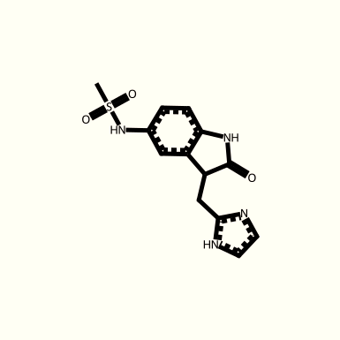 CS(=O)(=O)Nc1ccc2c(c1)C(Cc1ncc[nH]1)C(=O)N2